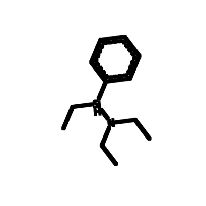 CCN(CC)[SiH](CC)c1ccccc1